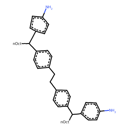 CCCCCCCCC(c1ccc(N)cc1)c1ccc(CCc2ccc(C(CCCCCCCC)c3ccc(N)cc3)cc2)cc1